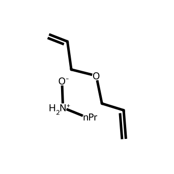 C=CCOCC=C.CCC[NH2+][O-]